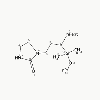 CCCCCC(CCN1CCNC1=O)[Si](C)(C)OCCC